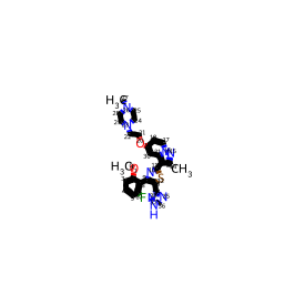 COc1cccc(F)c1-c1nc(-c2c(C)nn3ccc(OCCN4CCN(C)CC4)cc23)sc1-c1nc[nH]n1